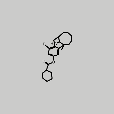 CC12CCCCCC(Cc3c(F)cc(OC(=O)C4CCCCC4)cc31)C2N